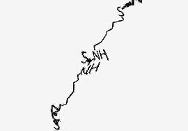 N#CSCCCCCCNC(=S)NCCCCCCN=C=S